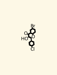 O=c1c(O)c(-c2ccc(Cl)cc2)oc2ccc(Br)cc12